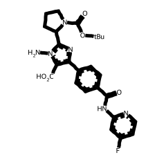 CC(C)(C)OC(=O)N1CCCC1c1nc(-c2ccc(C(=O)Nc3cc(F)ccn3)cc2)c(C(=O)O)n1N